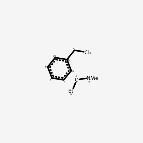 CCONC.ClCc1ccccc1